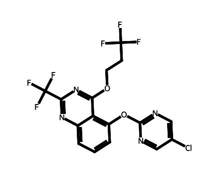 FC(F)(F)CCOc1nc(C(F)(F)F)nc2cccc(Oc3ncc(Cl)cn3)c12